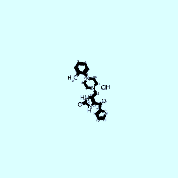 Cc1ccccc1N1CCN(Cc2[nH]c(=O)[nH]c2C(=O)c2cccs2)CC1.Cl